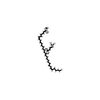 CCCCC/C=C\CCCCCCCCC(CCCCCCCC/C=C\CCCCC(=O)OC)OC(=O)CCCN(C)C